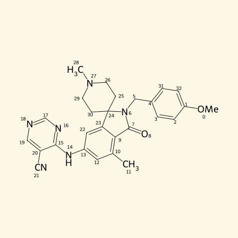 COc1ccc(CN2C(=O)c3c(C)cc(Nc4ncncc4C#N)cc3C23CCN(C)CC3)cc1